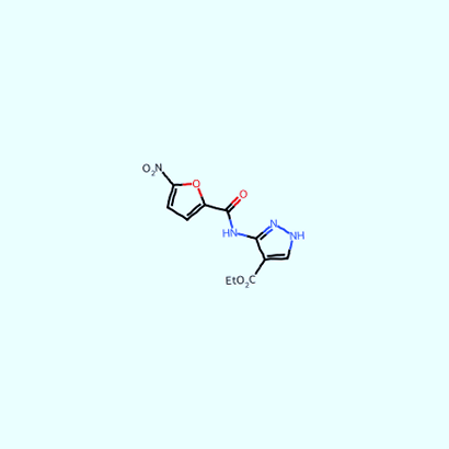 CCOC(=O)c1c[nH]nc1NC(=O)c1ccc([N+](=O)[O-])o1